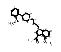 COc1ccccc1C1CCN(CCCn2cc(C(C)=O)c3c(OC)cccc32)CC1